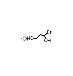 CCC(O)CC[C]=O